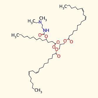 CCCCC/C=C\C/C=C\CCCCCCCC(=O)OCC(COC(=O)CCCCCCC/C=C\C/C=C\CCCCC)OC(=O)CCC(CCCCCCCCC)OC(=O)NCCN(C)CC